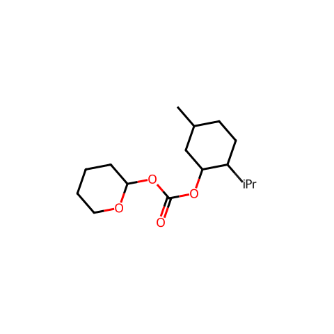 CC1CCC(C(C)C)C(OC(=O)OC2CCCCO2)C1